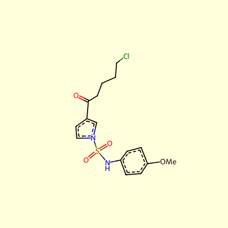 COc1ccc(NS(=O)(=O)n2ccc(C(=O)CCCCCl)c2)cc1